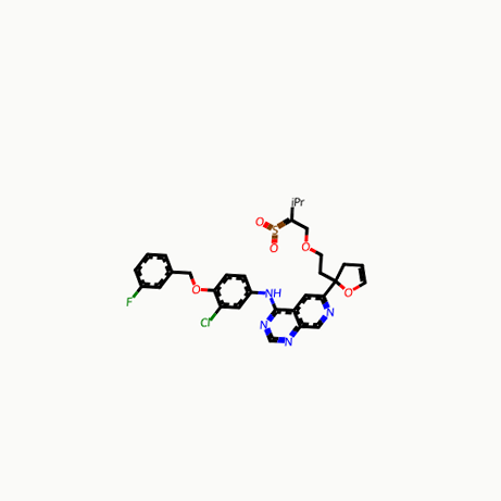 CC(C)C(COCCC1(c2cc3c(Nc4ccc(OCc5cccc(F)c5)c(Cl)c4)ncnc3cn2)CC=CO1)=S(=O)=O